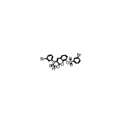 O=c1oc2c(OS(=O)(=O)c3cccc(Br)c3)cccc2cc1N(c1cccc(Br)c1)[SH](=O)=O